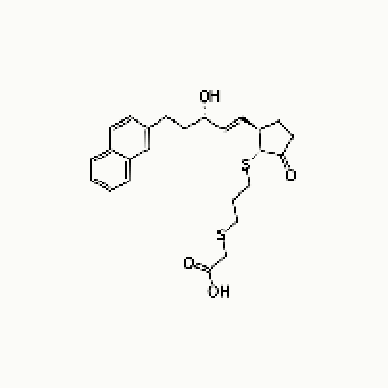 O=C(O)CSCCCS[C@H]1C(=O)CC[C@@H]1C=C[C@@H](O)CCc1ccc2ccccc2c1